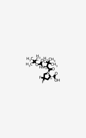 CC(C)(C)OC(=O)N[C@H](C(=O)N1CC(F)(F)C[C@H]1C(=O)O)C(C)(C)C